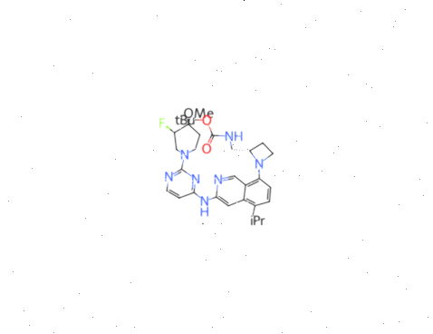 CO[C@H]1CCN(c2nccc(Nc3cc4c(C(C)C)ccc(N5CC[C@H]5CNC(=O)OC(C)(C)C)c4cn3)n2)C[C@H]1F